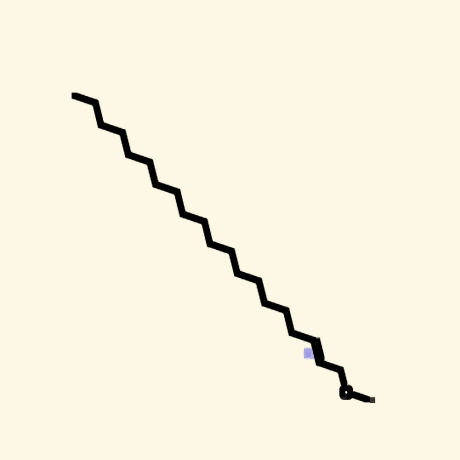 [CH2]OC/C=C/CCCCCCCCCCCCCCCCC